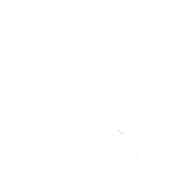 CCCCC(CO)CCCCNC(C)=O